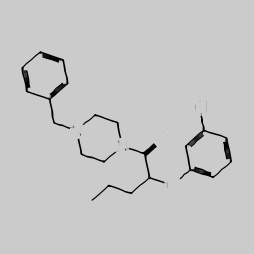 CCCC(Oc1cccc(Cl)c1)C(=O)N1CCN(Cc2ccccc2)CC1